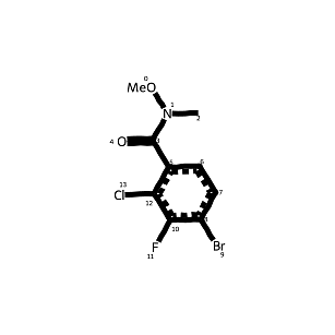 CON(C)C(=O)c1ccc(Br)c(F)c1Cl